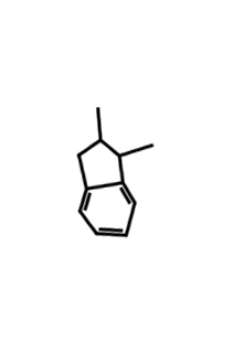 CC1Cc2ccccc2C1C